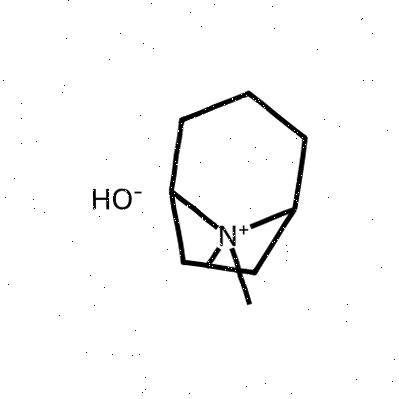 C[N+]1(C)C2CCCC1CC2.[OH-]